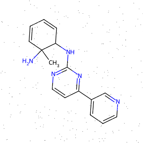 CC1(N)C=CC=CC1Nc1nccc(-c2cccnc2)n1